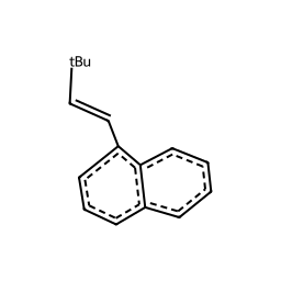 CC(C)(C)C=Cc1cccc2ccccc12